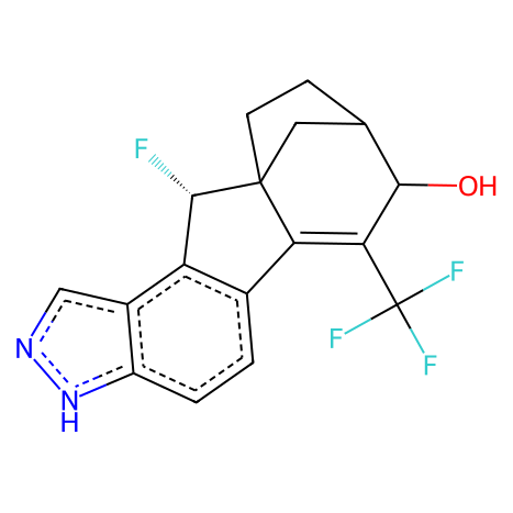 OC1C(C(F)(F)F)=C2c3ccc4[nH]ncc4c3[C@H](F)C23CCC1C3